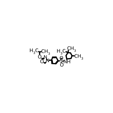 CC1CC(NS(=O)(=O)c2ccc(N3COC(OC(C)C)=N3)cc2)CC(C)(C)C1